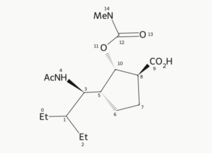 CCC(CC)[C@@H](NC(C)=O)[C@H]1CC[C@H](C(=O)O)[C@H]1OC(=O)NC